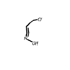 O/N=C\Cl